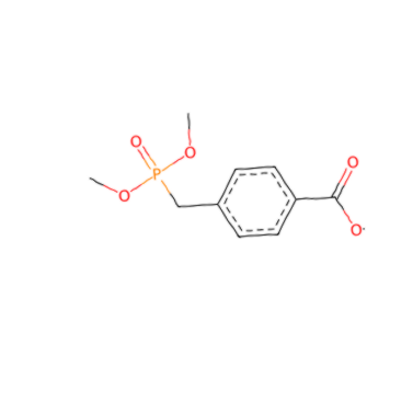 COP(=O)(Cc1ccc(C([O])=O)cc1)OC